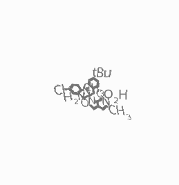 Cc1cc2ccn(C(Cc3ccc(C(C)(C)C)cc3)(C(N)=O)N(C)c3ccc(Cl)cc3)c2c(C(=O)O)n1